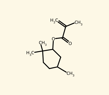 C=C(C)C(=O)OC1CC(C)CCC1(C)C